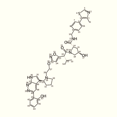 Cc1ncsc1-c1ccc(CNC(=O)[C@@H]2C[C@@H](O)CN2C(=O)[C@@H](c2cc(OCCN3CCC[C@H]3c3c[nH]c4nnc(-c5ccccc5O)cc34)no2)C(C)C)cc1